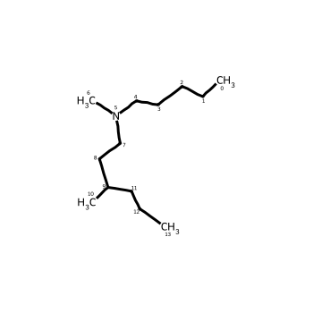 CCCCCN(C)CCC(C)CCC